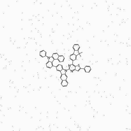 CC1(C)c2ccccc2-c2ccc(-c3nc(-n4c5ccc(-c6cccc7c6c6c8ccccc8ccc6n7-c6ccccc6)cc5c5cc6ccccc6cc54)nc4cc(-c5ccccc5)sc34)cc21